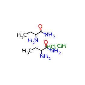 CCC(N)C(N)=O.CCC(N)C(N)=O.Cl.Cl